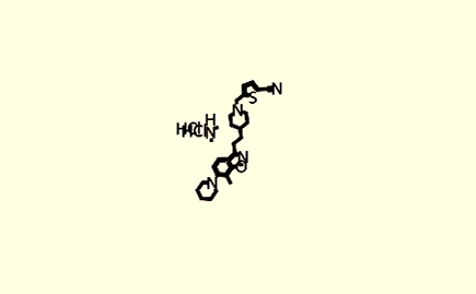 CNC.Cc1c(N2CCCCC2)ccc2c(CCC3CCN(Cc4ccc(C#N)s4)CC3)noc12.Cl.Cl